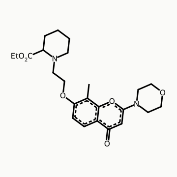 CCOC(=O)C1CCCCN1CCOc1ccc2c(=O)cc(N3CCOCC3)oc2c1C